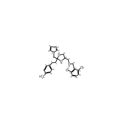 Cc1ccc(CCC2(Cn3ccnc3)OCC(COCc3c(Cl)cccc3Cl)O2)cc1